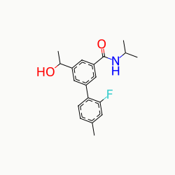 Cc1ccc(-c2cc(C(=O)NC(C)C)cc(C(C)O)c2)c(F)c1